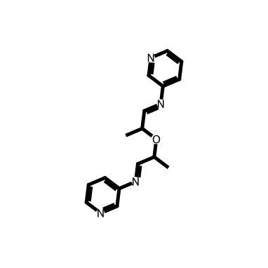 CC(C=Nc1cccnc1)OC(C)C=Nc1cccnc1